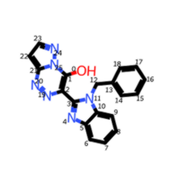 Oc1c(-c2nc3ccccc3n2Cc2ccccc2)nnc2ccnn12